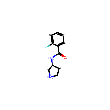 O=C(N[C@H]1CCNC1)c1ccccc1F